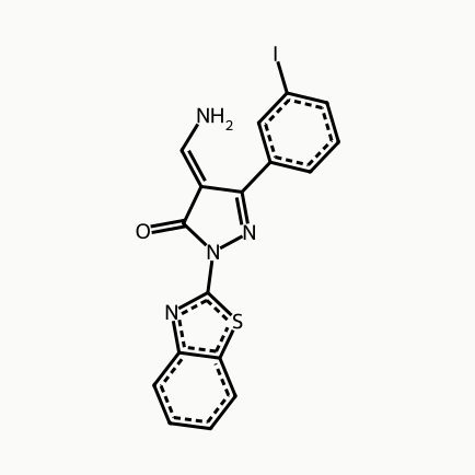 N/C=C1/C(=O)N(c2nc3ccccc3s2)N=C1c1cccc(I)c1